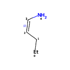 CCC/C=[C]\N